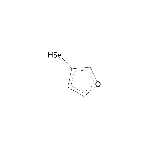 [SeH]c1ccoc1